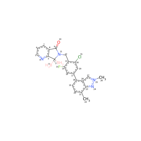 BC1(B)c2ncccc2C(=O)N1Cc1c(F)cc(-c2ccc(C)c3nn(C)cc23)cc1Cl